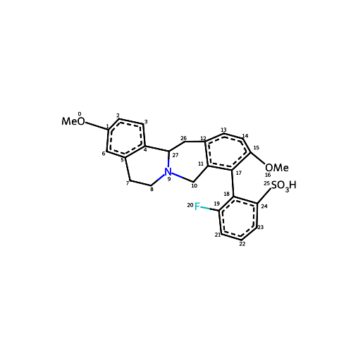 COc1ccc2c(c1)CCN1Cc3c(ccc(OC)c3-c3c(F)cccc3S(=O)(=O)O)CC21